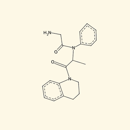 CC(C(=O)N1CCCc2ccccc21)N(C(=O)CN)c1ccccc1